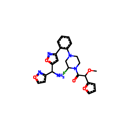 COC(C(=O)N1CCN(c2ccccc2-c2cc(C(N)c3ccon3)on2)CC1F)c1ccco1